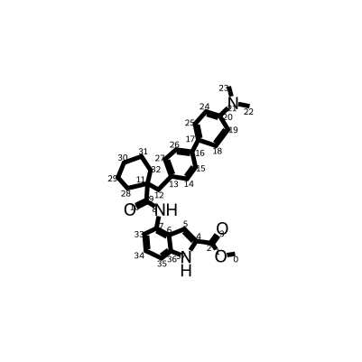 COC(=O)c1cc2c(NC(=O)C3(Cc4ccc(-c5ccc(N(C)C)cc5)cc4)CCCCC3)cccc2[nH]1